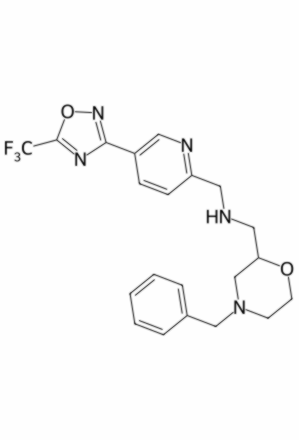 FC(F)(F)c1nc(-c2ccc(CNCC3CN(Cc4ccccc4)CCO3)nc2)no1